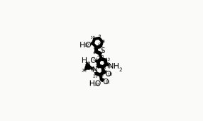 Cc1c(-c2cc3c(s2)CCCC3O)cc(N)c2c(=O)c(C(=O)O)cn(C3CC3)c12